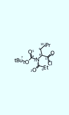 CCC(=O)N(C(=O)OC(C)(C)C)C(CC(C)C)C(=O)Cl